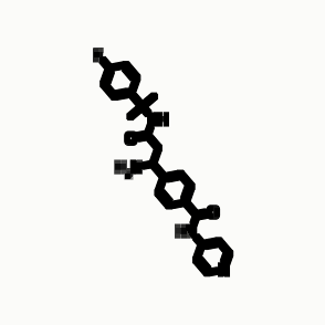 CC(C)(NC(=O)CC(N)c1ccc(C(=O)Nc2ccncc2)cc1)c1ccc(F)cc1